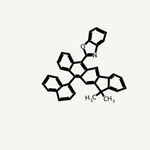 CC1(C)c2ccccc2-c2cc3c(-c4nc5ccccc5o4)c4ccccc4c(-c4cccc5ccccc45)c3cc21